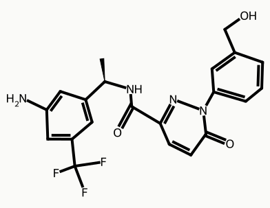 C[C@@H](NC(=O)c1ccc(=O)n(-c2cccc(CO)c2)n1)c1cc(N)cc(C(F)(F)F)c1